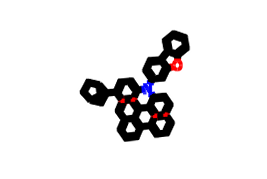 c1ccc(-c2cccc3cccc(-c4ccccc4N(c4ccc(C5CC6CCC5C6)cc4)c4ccc5c(c4)oc4ccccc45)c23)cc1